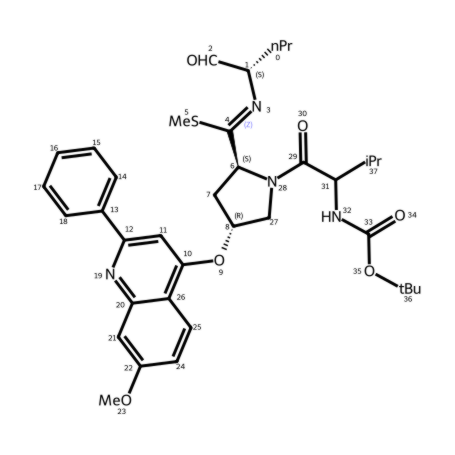 CCC[C@@H](C=O)/N=C(\SC)[C@@H]1C[C@@H](Oc2cc(-c3ccccc3)nc3cc(OC)ccc23)CN1C(=O)C(NC(=O)OC(C)(C)C)C(C)C